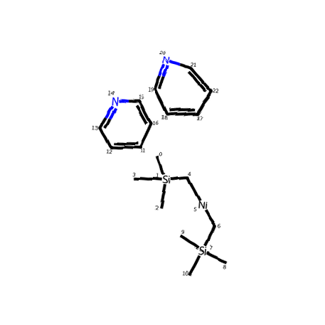 C[Si](C)(C)[CH2][Ni][CH2][Si](C)(C)C.c1ccncc1.c1ccncc1